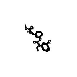 CCN(C(=O)Oc1cccc(NC(=O)OC)c1)c1cccc(Cl)c1